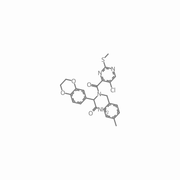 CSc1ncc(Cl)c(C(=O)N(Cc2ccc(C)cc2)C(C(N)=O)c2ccc3c(c2)OCCO3)n1